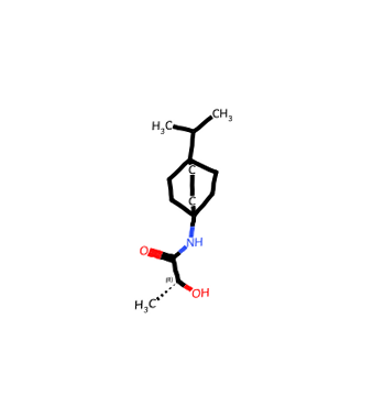 CC(C)C12CCC(NC(=O)[C@@H](C)O)(CC1)CC2